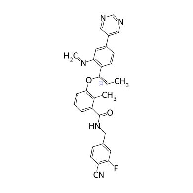 C=Nc1cc(-c2cncnc2)ccc1/C(=C\C)Oc1cccc(C(=O)NCc2ccc(C#N)c(F)c2)c1C